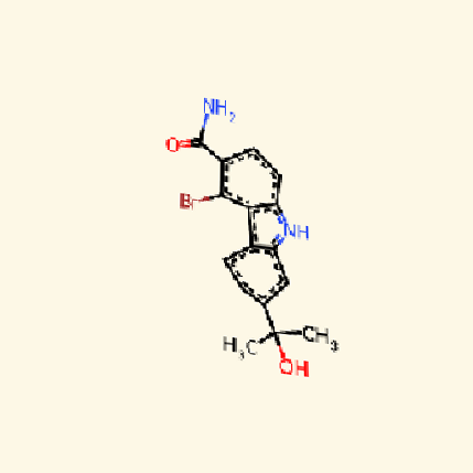 CC(C)(O)c1ccc2c(c1)[nH]c1ccc(C(N)=O)c(Br)c12